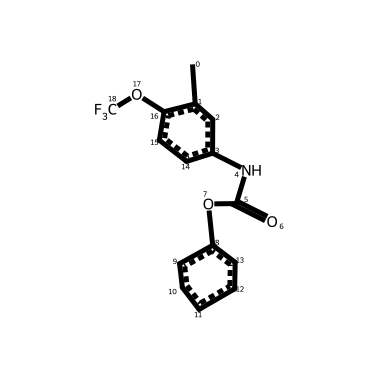 Cc1cc(NC(=O)Oc2ccccc2)ccc1OC(F)(F)F